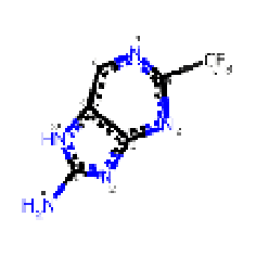 Nc1nc2nc(C(F)(F)F)ncc2[nH]1